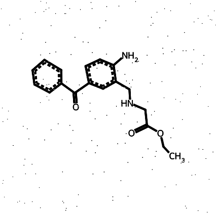 CCOC(=O)CNCc1cc(C(=O)c2ccccc2)ccc1N